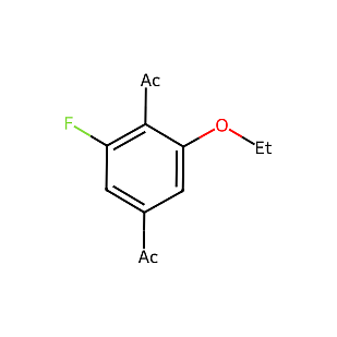 CCOc1cc(C(C)=O)cc(F)c1C(C)=O